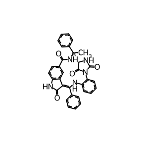 C[C@@H](NC(=O)c1ccc2c(c1)C(=C(Nc1ccccc1N1C(=O)CNC1=O)c1ccccc1)C(=O)N2)c1ccccc1